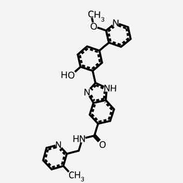 COc1ncccc1-c1ccc(O)c(-c2nc3cc(C(=O)NCc4ncccc4C)ccc3[nH]2)c1